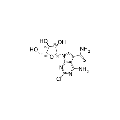 NC(=S)c1cn([C@@H]2O[C@H](CO)[C@@H](O)[C@H]2O)c2nc(Cl)nc(N)c12